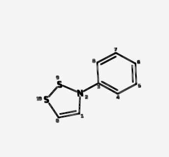 C1=CN(c2ccccc2)SS1